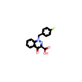 O=C(O)c1nn(Cc2ccc(F)cc2)c2ccccc2c1=O